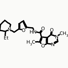 CCC1CCCCN1Cc1ccc(CNC(=O)c2c(C)oc3ncn(C)c(=O)c23)o1